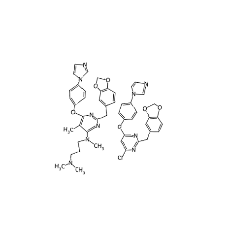 Cc1c(Oc2ccc(-n3ccnc3)cc2)nc(Cc2ccc3c(c2)OCO3)nc1N(C)CCCN(C)C.Clc1cc(Oc2ccc(-n3ccnc3)cc2)nc(Cc2ccc3c(c2)OCO3)n1